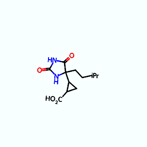 CC(C)CCC1(C2CC2C(=O)O)NC(=O)NC1=O